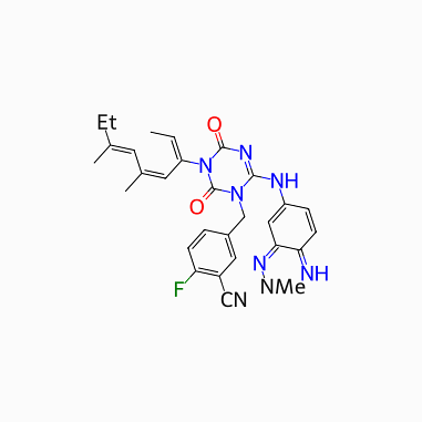 C\C=C(/C=C(C)\C=C(/C)CC)n1c(=O)nc(NC2=CC(=NNC)C(=N)C=C2)n(Cc2ccc(F)c(C#N)c2)c1=O